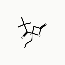 CCC[C@]1(C(=O)C(C)(C)C)CC(=O)O1